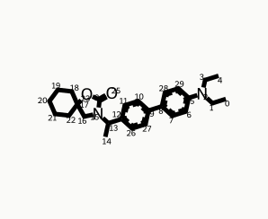 CCN(CC)c1ccc(-c2ccc(C(C)N3CC4(CCCCC4)OC3=O)cc2)cc1